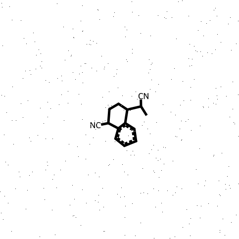 CC(C#N)C1CCC(C#N)c2ccccc21